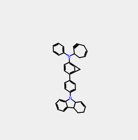 C1#CC(N(c2ccccc2)c2ccc(-c3ccc(N4c5ccccc5C5CCC=CC54)cc3)c3c2C3)CC=CC1